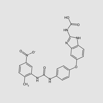 Cc1ccc([N+](=O)[O-])cc1NC(=O)Nc1ccc(Oc2ccc3[nH]c(NC(=O)O)nc3c2)cc1